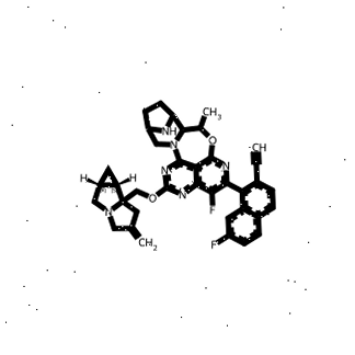 C#Cc1ccc2ccc(F)cc2c1-c1nc2c3c(nc(OCC45CC(=C)CN4C[C@@H]4C[C@@H]45)nc3c1F)N1CC3CCC(N3)C1C(C)O2